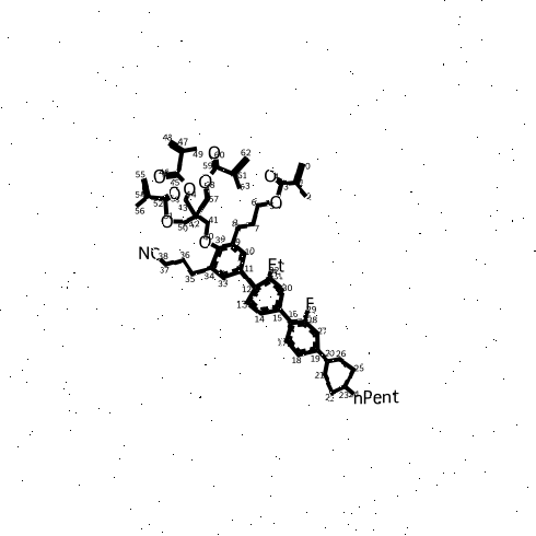 C=C(C)C(=O)OCCCc1cc(-c2ccc(-c3ccc(C4CCC(CCCCC)CC4)cc3F)cc2CC)cc(CCCC#N)c1OCC(COC(=O)C(=C)C)(COC(=O)C(=C)C)COC(=O)C(=C)C